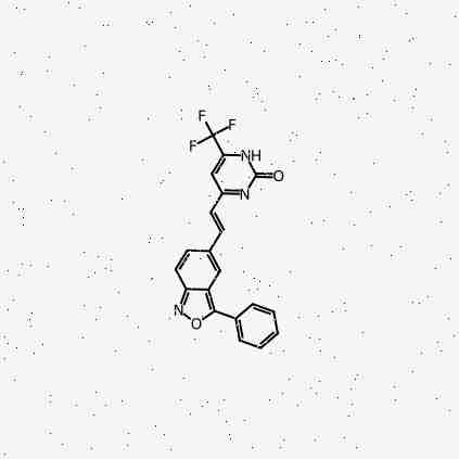 O=c1nc(/C=C/c2ccc3noc(-c4ccccc4)c3c2)cc(C(F)(F)F)[nH]1